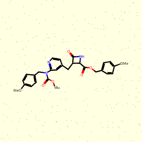 COc1ccc(COC(=O)C2NC(=O)C2Cc2ccnc(N(Cc3ccc(OC)cc3)C(=O)OC(C)(C)C)c2)cc1